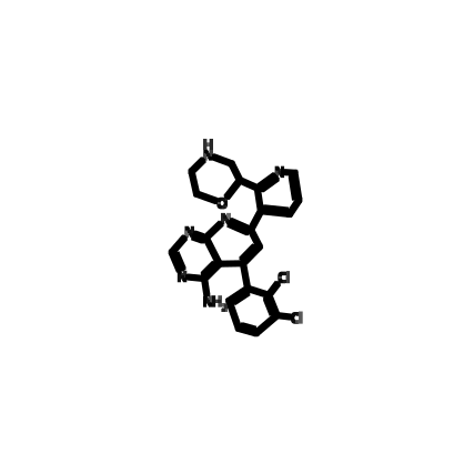 Nc1ncnc2nc(-c3cccnc3C3CNCCO3)cc(-c3cccc(Cl)c3Cl)c12